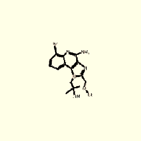 CCOCc1nc2c(N)nc3c(Br)cccc3c2n1CC(C)(C)O